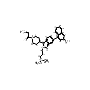 C=CC(=O)N1CCC(c2c3ccc(-c4cc(O)cc5ccccc45)cc3nn2CCCN(C)C)CC1